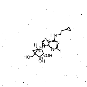 OC[C@@]12C[C@@H]1[C@@H](n1cnc3c(NCCC4CC4)nc(I)nc31)[C@H](O)[C@@H]2O